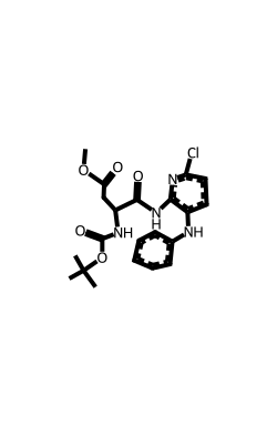 COC(=O)CC(NC(=O)OC(C)(C)C)C(=O)Nc1nc(Cl)ccc1Nc1ccccc1